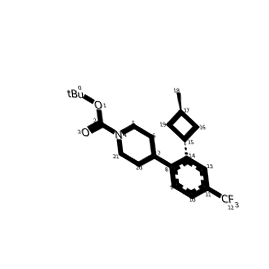 CC(C)(C)OC(=O)N1CCC(c2ccc(C(F)(F)F)cc2[C@H]2C[C@H](C)C2)CC1